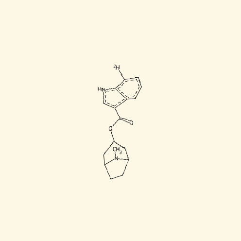 [2H]c1cccc2c(C(=O)OC3CC4CCC(C3)N4C)c[nH]c12